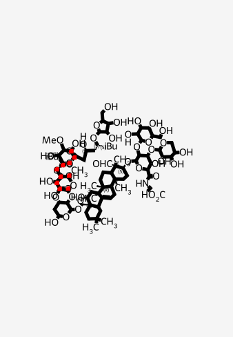 CC[C@H](C)[C@H](C[C@H](O)CC(=O)OC1CC(O)OC(OC(=O)[C@]23CCC(C)(C)CC2C2=CCC4[C@@]5(C)CC[C@H](OC6OC(C(=O)NCC(=O)O)C(O)C(OC7OCC(O)C(O)C7O)C6OC6OC(CO)C(O)C(O)C6O)[C@@](C)(C=O)C5CC[C@@]4(C)[C@]2(C)C[C@H]3O)C1OC1OC(C)C(OC2OCC(O)C(OC)C2O)C(O)C1O)OC(=O)C[C@@H](O)C[C@H](OC1OC(CO)C(O)C1O)[C@@H](C)CC